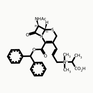 CC(=O)N[C@@H]1C(=O)N2C(C(=O)OC(c3ccccc3)c3ccccc3)=C(C=CC[N+](C)(C)C(C)C(=O)O)CS[C@@H]12